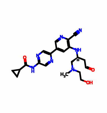 CN(CCO)C[C@H](CC=O)Nc1cc(-c2cnc(NC(=O)C3CC3)cn2)cnc1C#N